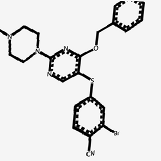 CN1CCN(c2ncc(Sc3ccc(C#N)c(Br)c3)c(OCc3ccccc3)n2)CC1